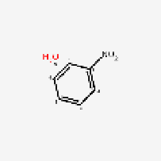 O.O=[N+]([O-])c1ccccc1